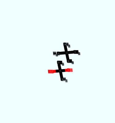 C[Si](C)(C)C.C[Si](C)(O)O